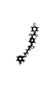 Cl.O=C(Nc1ccc(CCCCCCOc2cccc(F)c2F)cc1)N1CCNCC1